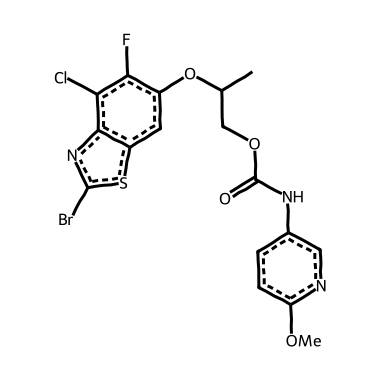 COc1ccc(NC(=O)OCC(C)Oc2cc3sc(Br)nc3c(Cl)c2F)cn1